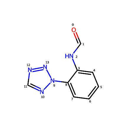 O=CNc1ccccc1-n1ncnn1